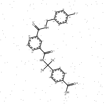 [2H]C([2H])(NC(=O)c1cc(C(=O)NCc2ccc(F)cc2)ncn1)c1ccc(C(=O)O)cc1